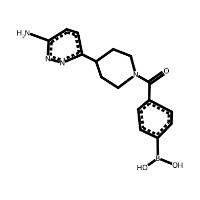 Nc1ccc(C2CCN(C(=O)c3ccc(B(O)O)cc3)CC2)nn1